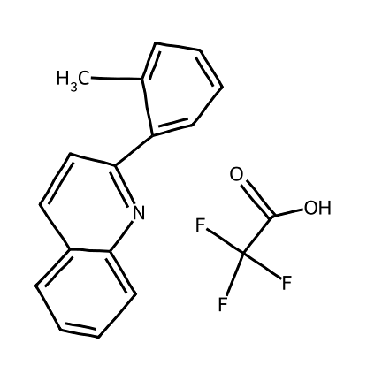 Cc1ccccc1-c1ccc2ccccc2n1.O=C(O)C(F)(F)F